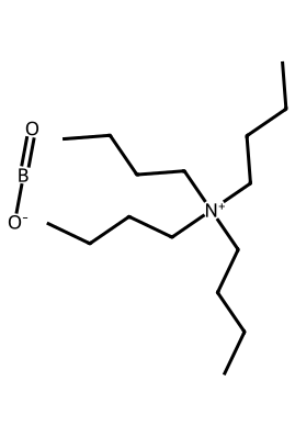 CCCC[N+](CCCC)(CCCC)CCCC.O=B[O-]